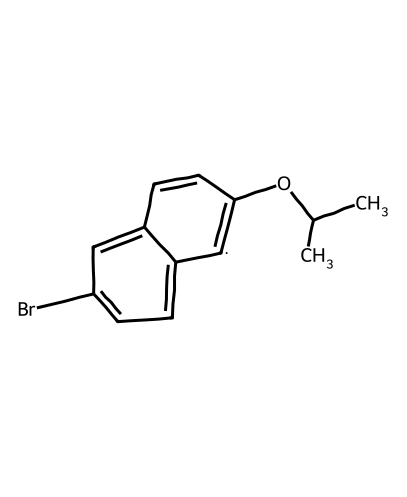 CC(C)Oc1[c]c2ccc(Br)cc2cc1